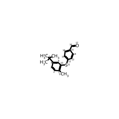 Cc1ccc(C(C)(C)C)cc1Sc1ccc(C=O)cc1